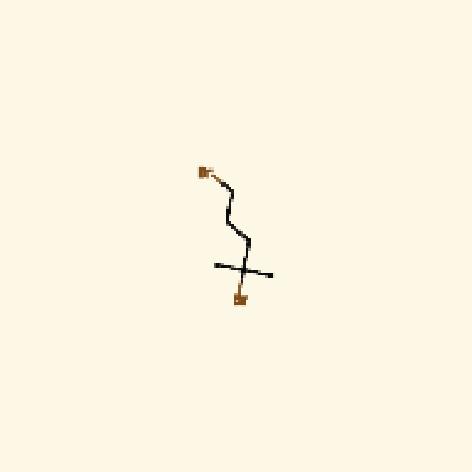 CC(C)(Br)CCCBr